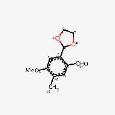 COc1cc(C2OCCO2)c(C=O)cc1C